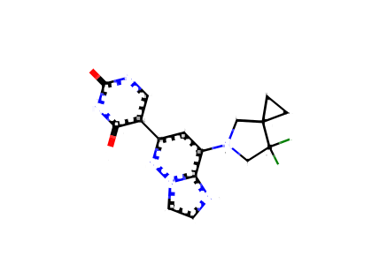 O=c1[nH]cc(-c2cc(N3CC(F)(F)C4(CC4)C3)c3nccn3n2)c(=O)[nH]1